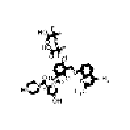 Cc1cc(C)c2cccc(OCc3c(Cl)ccc(S(=O)(=O)N4C[C@H](O)C[C@H]4C(=O)N4CCNCC4)c3Cl)c2n1.O=C(O)C(F)(F)F.O=C(O)C(F)(F)F